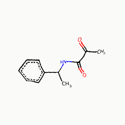 CC(=O)C(=O)NC(C)c1ccccc1